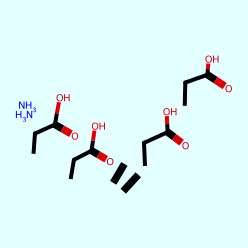 C=C.C=C.CCC(=O)O.CCC(=O)O.CCC(=O)O.CCC(=O)O.N.N